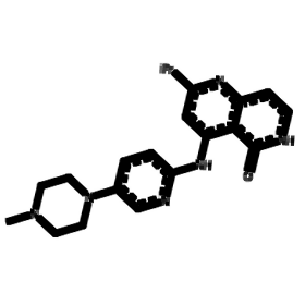 CC(C)c1cc(Nc2ccc(N3CCN(C)CC3)cn2)c2c(=O)[nH]ccc2n1